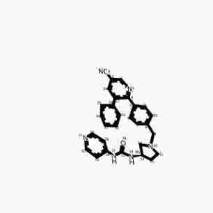 N#Cc1cnc(-c2ccc(CN3CC[C@@H](NC(=O)Nc4ccncc4)C3)cc2)c(-c2ccccc2)c1